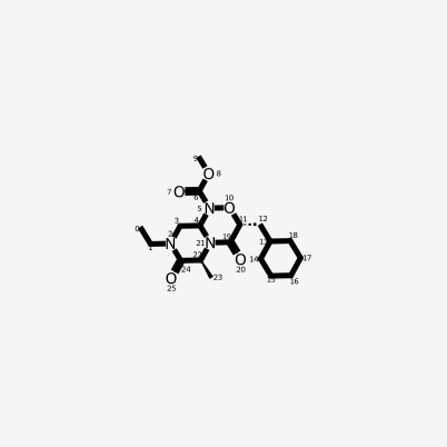 CCN1CC2N(C(=O)OC)O[C@H](CC3CCCCC3)C(=O)N2[C@@H](C)C1=O